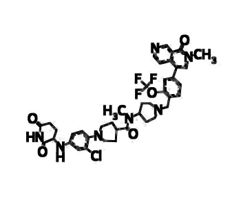 CN(C(=O)C1CCN(c2ccc(NC3CCC(=O)NC3=O)cc2Cl)CC1)C1CCN(Cc2ccc(-c3cn(C)c(=O)c4cnccc34)cc2OC(F)(F)F)CC1